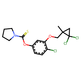 CC1(COc2cc(OC(=S)N3CCCC3)ccc2Cl)CC1(Cl)Cl